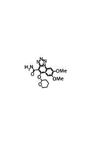 COc1cc2c(OC3CCCCO3)c(C(N)=O)c3nnnn3c2cc1OC